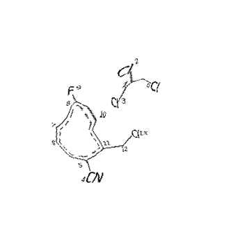 ClC(Cl)Cl.N#Cc1ccc(F)cc1CCl